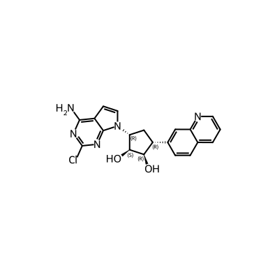 Nc1nc(Cl)nc2c1ccn2[C@@H]1C[C@H](c2ccc3cccnc3c2)[C@@H](O)[C@H]1O